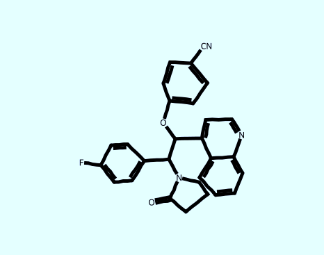 N#Cc1ccc(OC(c2ccnc3ccccc23)C(c2ccc(F)cc2)N2CCCC2=O)cc1